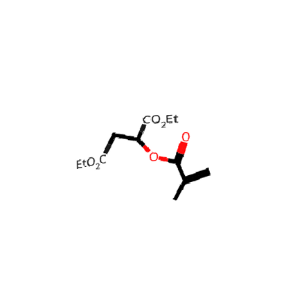 C=C(C)C(=O)OC(CC(=O)OCC)C(=O)OCC